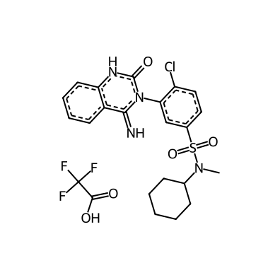 CN(C1CCCCC1)S(=O)(=O)c1ccc(Cl)c(-n2c(=O)[nH]c3ccccc3c2=N)c1.O=C(O)C(F)(F)F